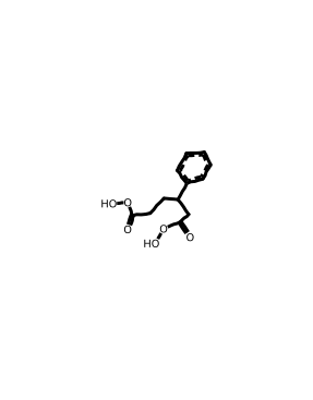 O=C(CCC(CC(=O)OO)c1ccccc1)OO